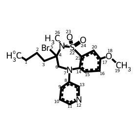 CCCCC1(Br)CN(c2cccnc2)c2ccc(OC)cc2S(=O)(=O)N1C